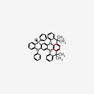 CC1(C)c2ccccc2N(c2cc3c(cc2N2c4ccccc4C(C)(C)c4ccccc42)P(=O)(c2ccccc2)c2ccccc2N3c2ccccc2)c2ccccc21